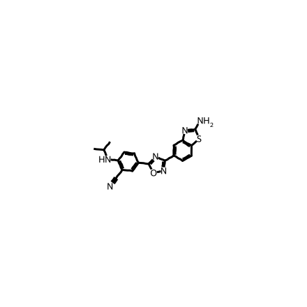 CC(C)Nc1ccc(-c2nc(-c3ccc4sc(N)nc4c3)no2)cc1C#N